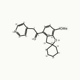 COc1ccc(C(=O)Cc2ccncc2)c2c1OC1(CCCCC1)C2